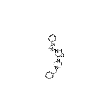 O=C(CN[C@H]1C[C@@H]1c1ccccc1)N1CCN(Cc2ccccc2)CC1